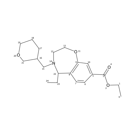 CCOC(=O)c1ccc2c(c1)OCCN(CC1CCCOC1)C2CC